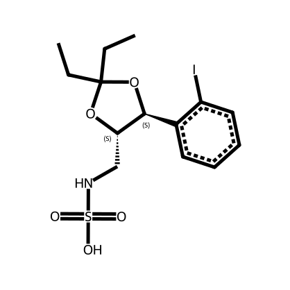 CCC1(CC)O[C@@H](CNS(=O)(=O)O)[C@H](c2ccccc2I)O1